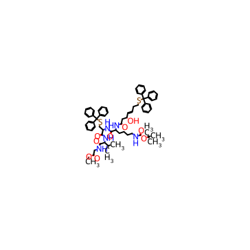 COC(=O)CNC(=O)C(NC(=O)C(CSC(c1ccccc1)(c1ccccc1)c1ccccc1)NC(=O)C(CCCCNC(=O)OC(C)(C)C)NC(=O)CC(O)C=CCCSC(c1ccccc1)(c1ccccc1)c1ccccc1)C(C)C